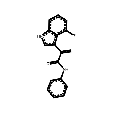 C=C(C(=O)Nc1ccccc1)c1c[nH]c2cccc(F)c12